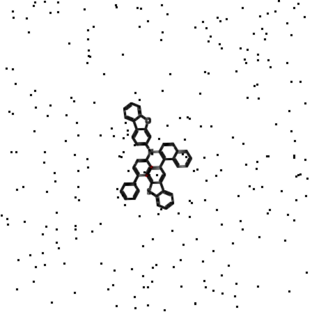 c1ccc(-c2ccc(N(c3ccc4c(c3)oc3ccccc34)c3ccc4ccccc4c3-c3ccc4sc5ccccc5c4c3)cc2)cc1